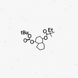 CCC(C)(C)C(=O)OC1CCC(OC(=O)OC(C)(C)C)C2CCCCC12